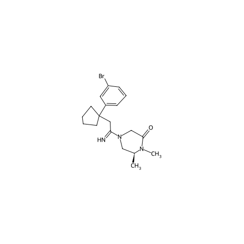 C[C@H]1CN(C(=N)CC2(c3cccc(Br)c3)CCCC2)CC(=O)N1C